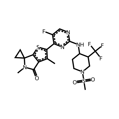 Cc1c(-c2nc(NC3CCN(S(C)(=O)=O)CC3C(F)(F)F)ncc2F)sc2c1C(=O)N(C)C21CC1